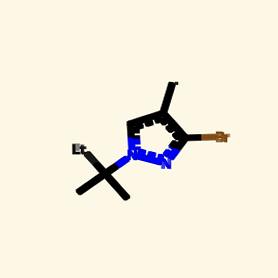 [CH2]c1cn(C(C)(C)CC)nc1Br